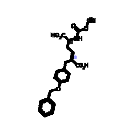 CC(C)(C)OC(=O)N[C@@H](C/C=C(\Cc1ccc(OCc2ccccc2)cc1)C(=O)O)C(=O)O